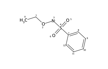 CCO[N]S(=O)(=O)c1ccccc1